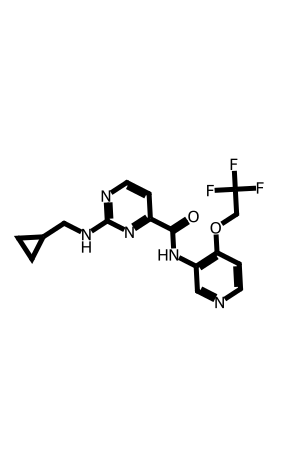 O=C(Nc1cnccc1OCC(F)(F)F)c1ccnc(NCC2CC2)n1